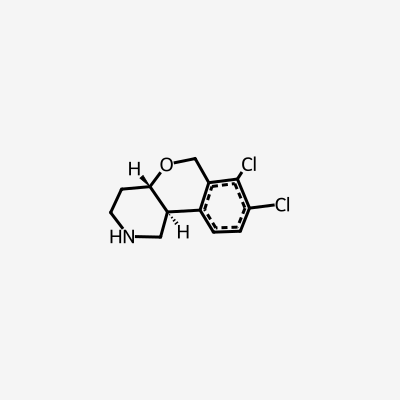 Clc1ccc2c(c1Cl)CO[C@H]1CCNC[C@H]21